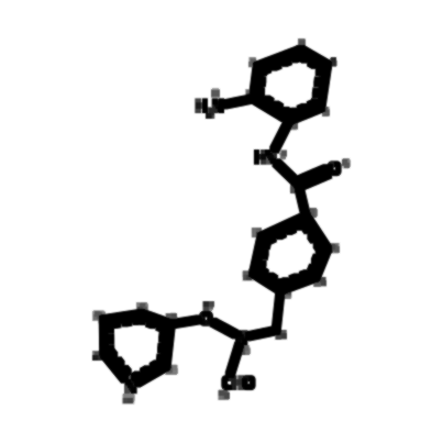 Nc1ccccc1NC(=O)c1ccc(CN(C=O)Oc2cccnc2)cc1